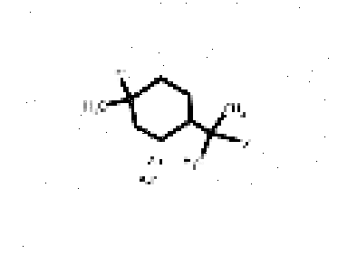 CC1([S-])CCC(C(C)(C)[S-])CC1.[Au+].[Au+]